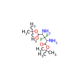 CC(C)(C)OC(=O)C(N)C(F)(F)C(N)C(=O)OC(C)(C)C